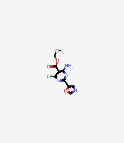 CCOC(=O)c1c(N)nc(-c2cnco2)nc1Cl